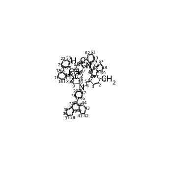 C=C/C=C\C(=C/CN(C(/C=C\CC(=C)c1ccccc1-c1ccccc1)=C/C)c1ccc(-c2cc3ccccc3c3ccccc23)cc1)c1cc(N(C2=CCCC=C2)c2ccccc2C)c2ccccc2c1